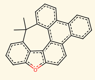 CC1(C)c2cccc3oc4ccc5c6ccccc6c6cccc1c6c5c4c23